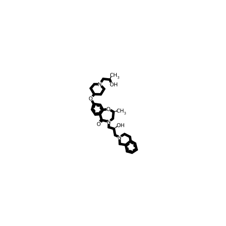 C[C@H](O)CN1CCC(Oc2ccc3c(c2)O[C@H](C)CN(C[C@H](O)CN2CCc4ccccc4C2)C3=O)CC1